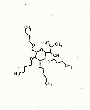 CCCCOC[C@H]1O[C@@H](C(O)C(C)C)[C@H](OCCCC)[C@@H](OCCCC)[C@H]1OCCCC